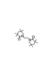 CC1(C)CN(CCN2CC(C)(C)CC(C)(C)C2=O)C(=O)C(C)(C)C1